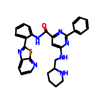 O=C(Nc1ccccc1-c1nc2cccnc2s1)c1cc(NCC2CCCCN2)nc(-c2ccccc2)n1